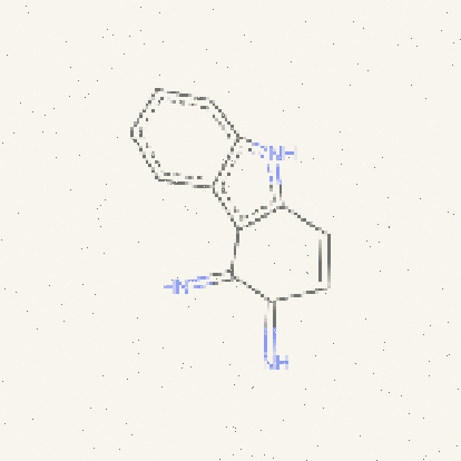 N=C1C=Cc2[nH]c3ccccc3c2C1=N